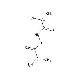 C[C@H](N)C(=O)ONC(=O)[C@@H](C)N